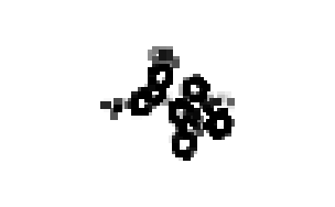 Cc1ccc2c(c1)c1cc(C)ccc1n2-c1ccc2c(c1)c1ccccc1n2-c1ccccc1C(C)(C)c1ccccc1